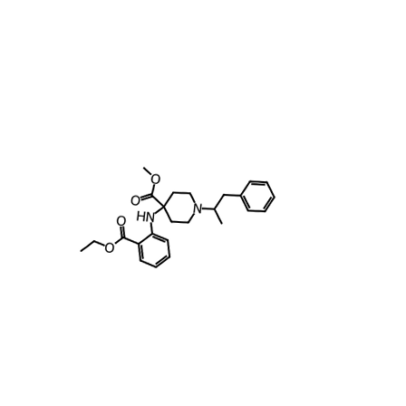 CCOC(=O)c1ccccc1NC1(C(=O)OC)CCN(C(C)Cc2ccccc2)CC1